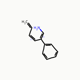 C=C/C=C\C(=C/N)c1ccccc1